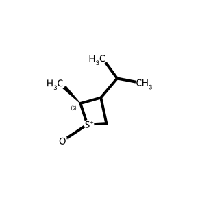 CC(C)C1C[S+]([O-])[C@H]1C